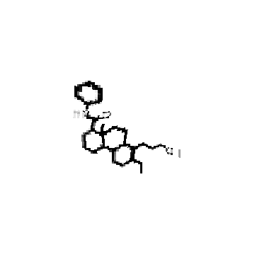 CCC1CCC2C(CCC3(C)C(C(=O)Nc4ccccc4)CCCC23)C1CCCO